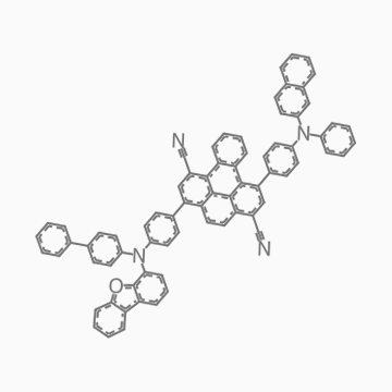 N#Cc1cc(-c2ccc(N(c3ccccc3)c3ccc4ccccc4c3)cc2)c2c3ccccc3c3c(C#N)cc(-c4ccc(N(c5ccc(-c6ccccc6)cc5)c5cccc6c5oc5ccccc56)cc4)c4ccc1c2c43